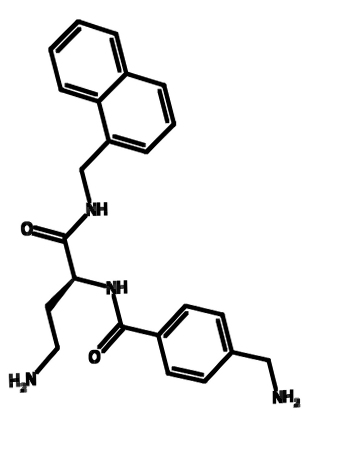 NCC[C@H](NC(=O)c1ccc(CN)cc1)C(=O)NCc1cccc2ccccc12